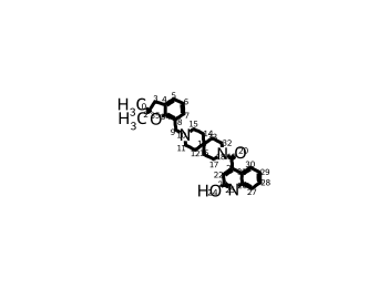 CC1(C)Cc2cccc(CN3CCC4(CC3)CCN(C(=O)c3cc(O)nc5ccccc35)CC4)c2O1